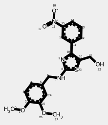 COc1ccc(CNc2nc(-c3cccc([N+](=O)[O-])c3)c(CO)s2)cc1OC